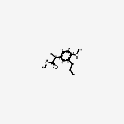 CCCc1cc(C(C)C(=O)OC)ccc1OC